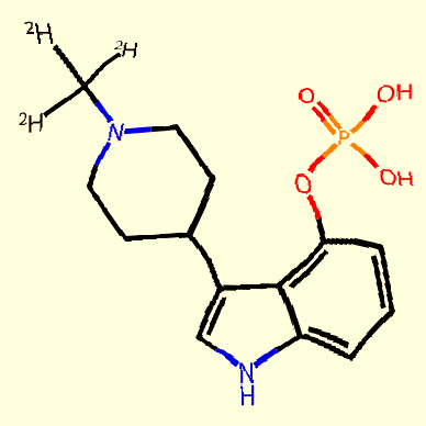 [2H]C([2H])([2H])N1CCC(c2c[nH]c3cccc(OP(=O)(O)O)c23)CC1